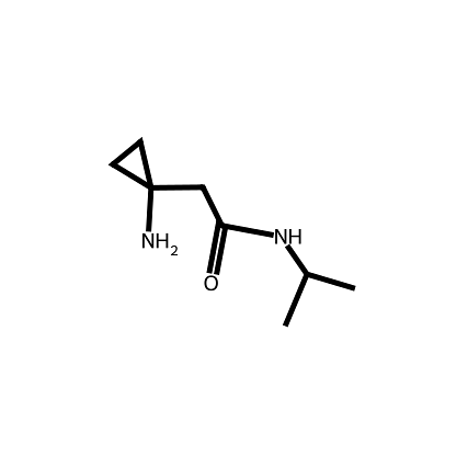 CC(C)NC(=O)CC1(N)CC1